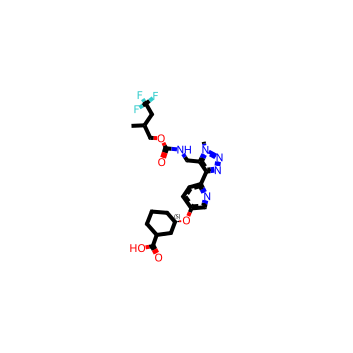 CC(COC(=O)NCc1c(-c2ccc(O[C@H]3CCCC(C(=O)O)C3)cn2)nnn1C)CC(F)(F)F